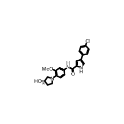 COc1cc(NC(=O)c2cc(-c3ccc(Cl)cc3)c[nH]2)ccc1N1CC[C@@H](O)C1